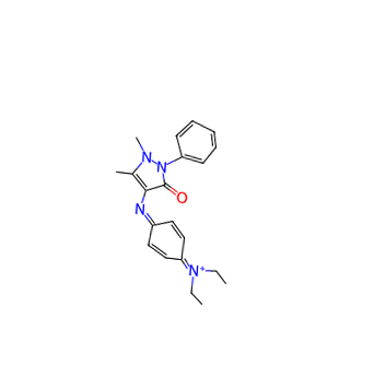 CC[N+](CC)=C1C=CC(=Nc2c(C)n(C)n(-c3ccccc3)c2=O)C=C1